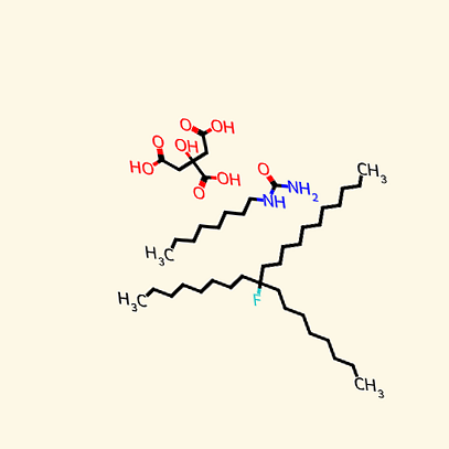 CCCCCCCCCCCC(F)(CCCCCCCC)CCCCCCCC.CCCCCCCCNC(N)=O.O=C(O)CC(O)(CC(=O)O)C(=O)O